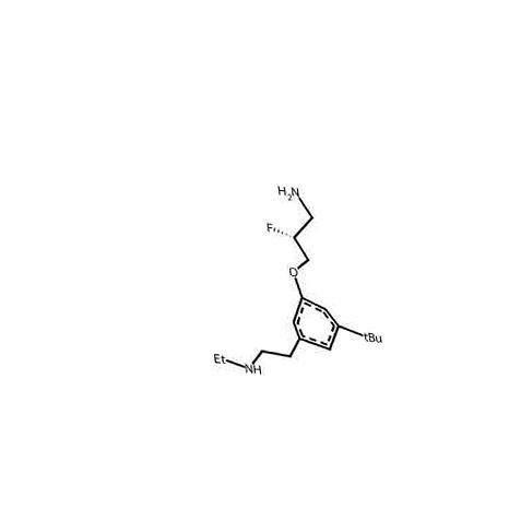 CCNCCc1cc(OC[C@H](F)CN)cc(C(C)(C)C)c1